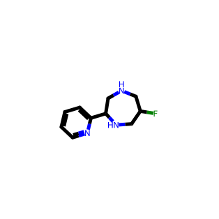 FC1CNCC(c2ccccn2)NC1